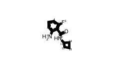 Nc1cccc(F)c1C(=O)NC1CCC1